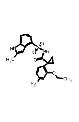 CCOc1cc(C)ccc1C1(C(=O)NS(=O)(=O)c2cccc3[nH]c(C)cc23)CC1